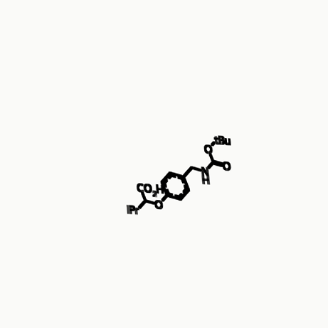 CC(C)C(Oc1ccc(CNC(=O)OC(C)(C)C)cc1)C(=O)O